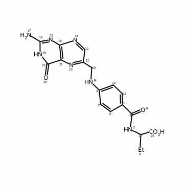 CCC(NC(=O)c1ccc(NCc2cnc3nc(N)[nH]c(=O)c3n2)cc1)C(=O)O